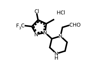 Cc1c(Cl)c(C(F)(F)F)nn1C1CNCCN1CC=O.Cl